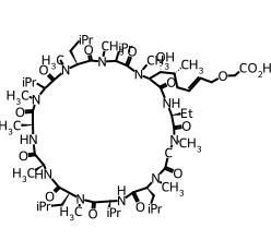 CC[C@@H]1NC(=O)C([C@H](O)[C@H](C)C/C=C/COCC(=O)O)N(C)C(=O)C(C(C)C)N(C)C(=O)[C@H](CC(C)C)N(C)C(=O)C(C(C)C)N(C)C(=O)[C@H](C)NC(=O)[C@H](C)NC(=O)[C@H](CC(C)C)N(C)C(=O)[C@H](C(C)C)NC(=O)[C@H](CC(C)C)N(C)C(=O)CN(C)C1=O